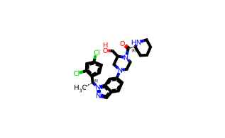 C[C@H](c1ccc(Cl)cc1Cl)n1ncc2ccc(N3CCN(C(=O)[C@H]4CCCCN4)C(CO)C3)cc21